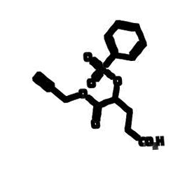 C#CCOC(=O)C(CCC(=O)O)OS(=O)(=O)c1ccccc1